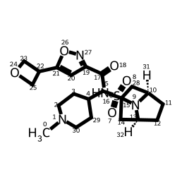 CN1CCC(CS(=O)(=O)N2[C@@H]3CC[C@H]2CC(NC(=O)c2cc(C4COC4)on2)C3)CC1